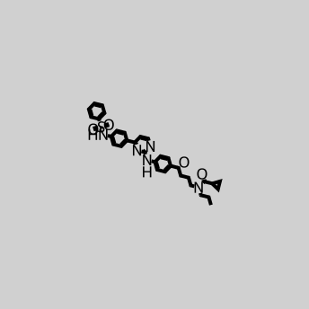 CCCN(CCCC(=O)c1ccc(Nc2nccc(-c3ccc(NS(=O)(=O)c4ccccc4)cc3)n2)cc1)C(=O)C1CC1